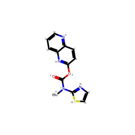 CC(C)(C)N(C(=O)Oc1ccc2ncccc2n1)c1nccs1